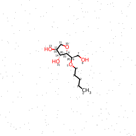 CCCCCO[C@H](CO)[C@H]1OC[C@H](O)[C@H]1O